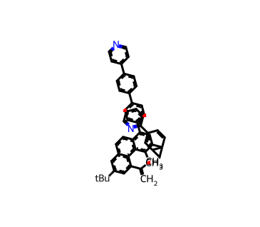 C=C(C)c1cc(C(C)(C)C)cc2ccc3c(-c4ccc(-c5ccc(-c6ccncc6)cc5)cc4)cc(C45C=CC(c6ccccn6)=CC4C5)c(C)c3c12